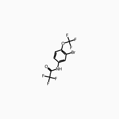 O=C(Nc1ccc(OC(F)(F)F)c(Br)c1)C(F)(F)F